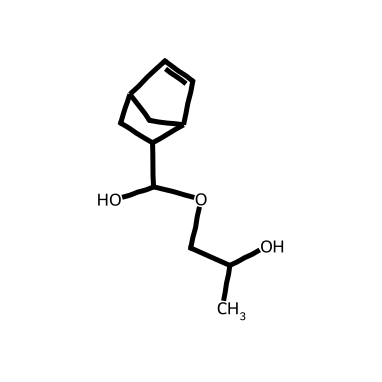 CC(O)COC(O)C1CC2C=CC1C2